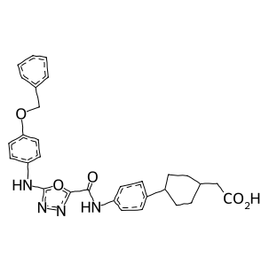 O=C(O)CC1CCC(c2ccc(NC(=O)c3nnc(Nc4ccc(OCc5ccccc5)cc4)o3)cc2)CC1